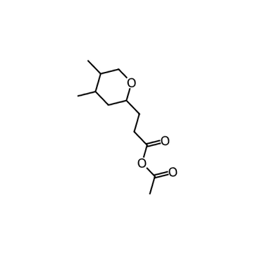 CC(=O)OC(=O)CCC1CC(C)C(C)CO1